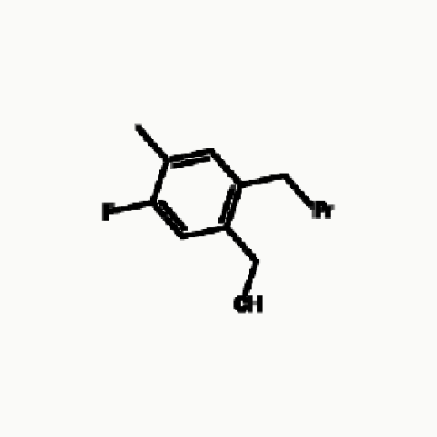 Cc1cc(CC(C)C)c(CO)cc1F